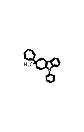 CC1(C2=CC=CCC=C2)C=Cc2c(n(-c3ccccc3)c3ccccc23)C=C1